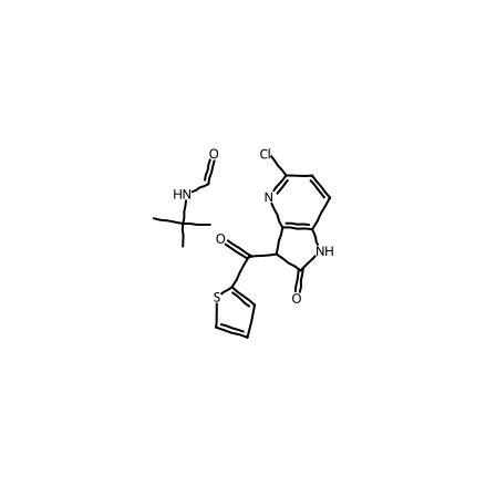 CC(C)(C)NC=O.O=C1Nc2ccc(Cl)nc2C1C(=O)c1cccs1